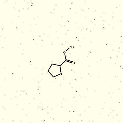 CCCOC(=O)C1CCC[N]1